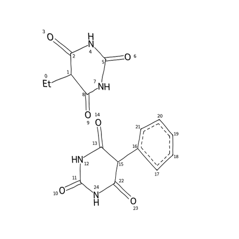 CCC1C(=O)NC(=O)NC1=O.O=C1NC(=O)C(c2ccccc2)C(=O)N1